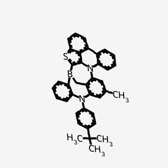 Cc1cc2c3c(c1)N1c4ccccc4-c4cccc5sc(c1c45)B(C3)c1ccccc1N2c1ccc(C(C)(C)C)cc1